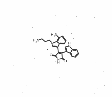 NCCCn1cc(C2=C(c3c[nH]c4ccccc34)C(=O)NC2=O)c2cccc(N)c21